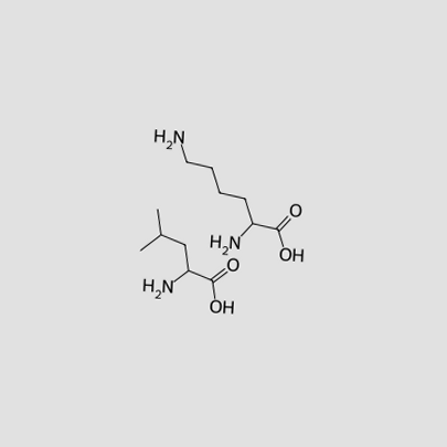 CC(C)CC(N)C(=O)O.NCCCCC(N)C(=O)O